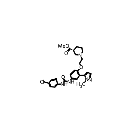 COC(=O)[C@H]1CCCN(CCOc2ccc(NC(=O)Nc3ccc(Cl)cc3)cc2-c2ccnn2C)C1